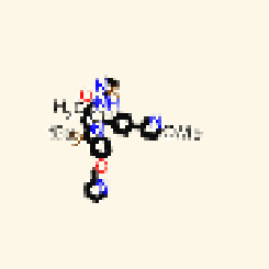 COc1ccc(-c2ccc(Cn3c(CC(C)(C)C(=O)Nc4nccs4)c(SC(C)(C)C)c4cc(OCc5ccccn5)ccc43)cc2)cn1